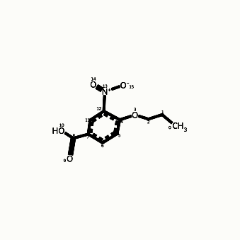 CCCOc1ccc(C(=O)O)cc1[N+](=O)[O-]